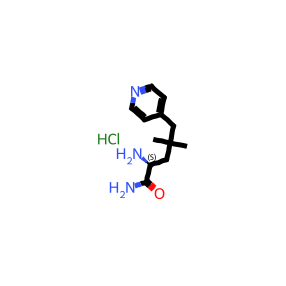 CC(C)(Cc1ccncc1)C[C@H](N)C(N)=O.Cl